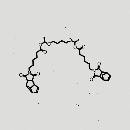 CC(OCCCCOC(C)OC(=O)CCCCCN1C(=O)C2C3C=CC4C3C4C2C1=O)OC(=O)CCCCCN1C(=O)C2C3C=CC(C3)C2C1=O